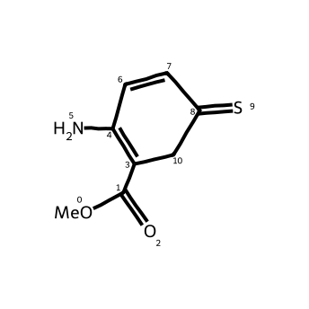 COC(=O)C1=C(N)C=CC(=S)C1